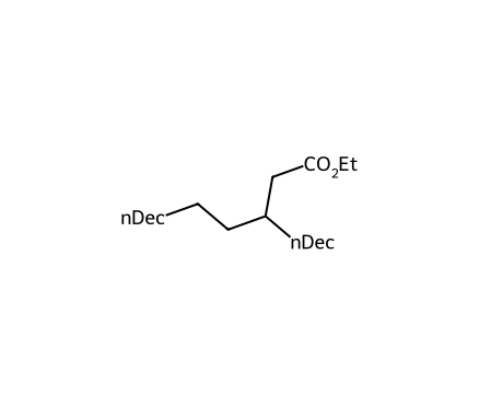 CCCCCCCCCCCCC(CCCCCCCCCC)CC(=O)OCC